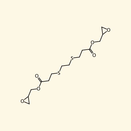 O=C(CCSCCSCCC(=O)OCC1CO1)OCC1CO1